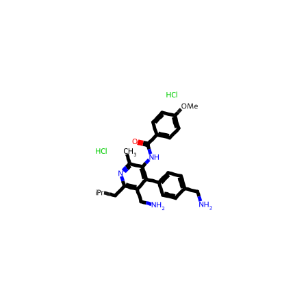 COc1ccc(C(=O)Nc2c(C)nc(CC(C)C)c(CN)c2-c2ccc(CN)cc2)cc1.Cl.Cl